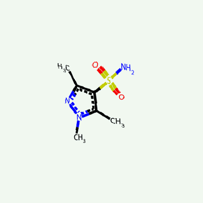 Cc1nn(C)c(C)c1S(N)(=O)=O